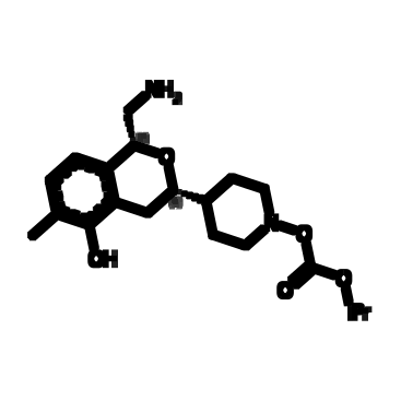 Cc1ccc2c(c1O)C[C@@H](C1CCN(OC(=O)OC(C)C)CC1)O[C@H]2CN